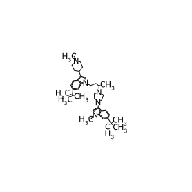 CC(CCn1cc(C2CCN(C)CC2)c2ccc(C(C)(C)C)cc21)N1CCN(c2cn(C)c3cc(C(C)(C)C)ccc23)CC1